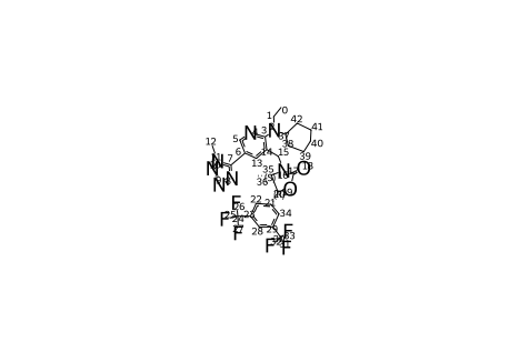 CCN(c1ncc(-c2nnnn2C)cc1CN1C(=O)O[C@H](c2cc(C(F)(F)F)cc(C(F)(F)F)c2)[C@@H]1C)C1CCCCC1